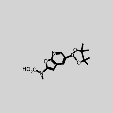 CN(C(=O)O)c1cc2cc(B3OC(C)(C)C(C)(C)O3)cnc2o1